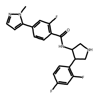 Cn1nccc1-c1ccc(C(=O)NC2CNCC2c2ccc(F)cc2F)c(F)c1